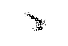 CCCc1ccc(-c2ccc(-c3n[nH]c(C)c3NC(=O)O[C@H](C)c3ccccc3Cl)cc2)cc1